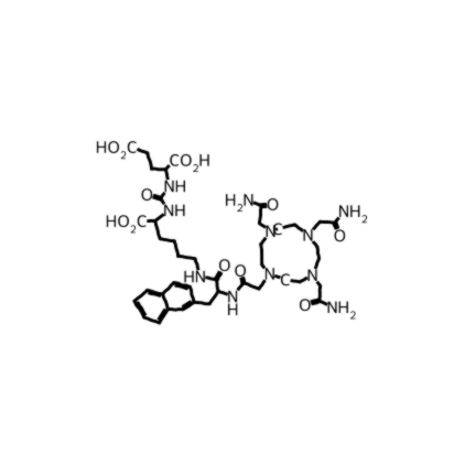 NC(=O)CN1CCN(CC(N)=O)CCN(CC(=O)NC(Cc2ccc3ccccc3c2)C(=O)NCCCCC(NC(=O)NC(CCC(=O)O)C(=O)O)C(=O)O)CCN(CC(N)=O)CC1